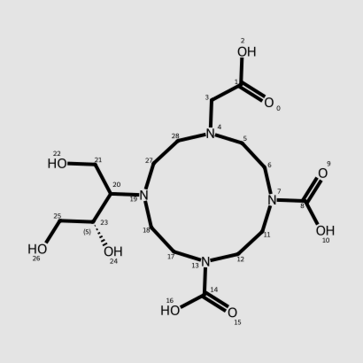 O=C(O)CN1CCN(C(=O)O)CCN(C(=O)O)CCN(C(CO)[C@H](O)CO)CC1